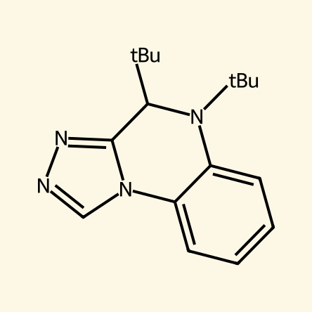 CC(C)(C)C1c2nncn2-c2ccccc2N1C(C)(C)C